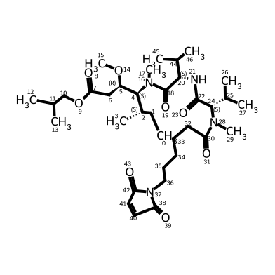 CC[C@H](C)[C@@H]([C@@H](CC(=O)OCC(C)C)OC)N(C)C(=O)[C@@H](NC(=O)[C@H](C(C)C)N(C)C(=O)CCCCCN1C(=O)C=CC1=O)C(C)C